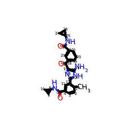 Cc1ccc(C(=O)NC2CC2)cc1-c1nc(C(=O)c2cccc(C(=O)NC3CC3)c2)c(N)[nH]1